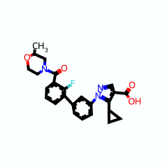 CC1CN(C(=O)c2cccc(-c3cccc(-n4ncc(C(=O)O)c4C4CC4)c3)c2F)CCO1